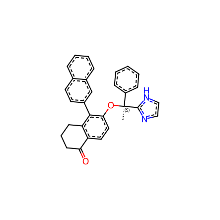 C[C@](Oc1ccc2c(c1-c1ccc3ccccc3c1)CCCC2=O)(c1ccccc1)c1ncc[nH]1